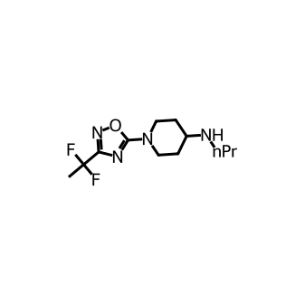 CCCNC1CCN(c2nc(C(C)(F)F)no2)CC1